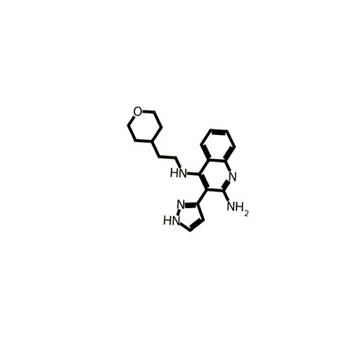 Nc1nc2ccccc2c(NCCC2CCOCC2)c1-c1cc[nH]n1